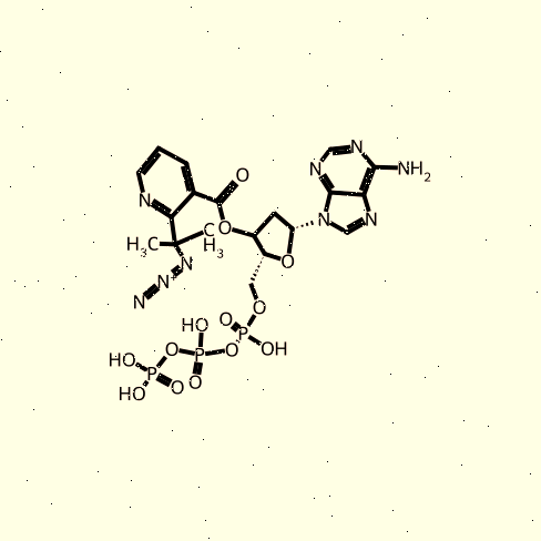 CC(C)(N=[N+]=[N-])c1ncccc1C(=O)OC1C[C@H](n2cnc3c(N)ncnc32)O[C@@H]1COP(=O)(O)OP(=O)(O)OP(=O)(O)O